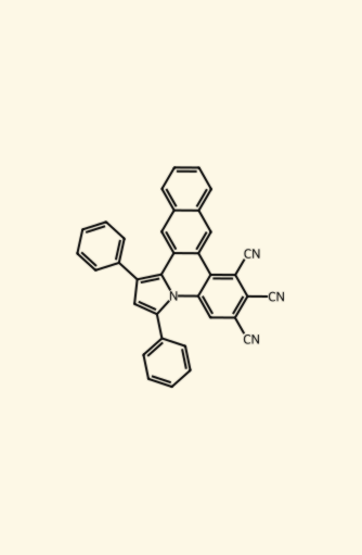 N#Cc1cc2c(c(C#N)c1C#N)c1cc3ccccc3cc1c1c(-c3ccccc3)cc(-c3ccccc3)n21